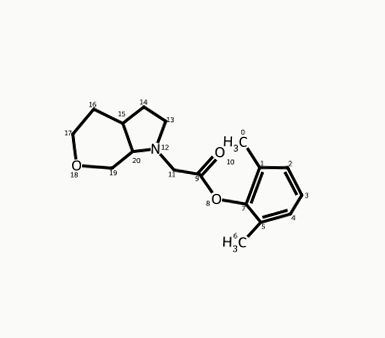 Cc1cccc(C)c1OC(=O)CN1CCC2CCOCC21